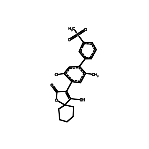 Cc1cc(C2=C(O)C3(CCCCC3)OC2=O)c(Cl)cc1-c1cccc(S(C)(=O)=O)c1